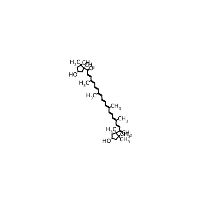 C=C(/C=C/C(C)=C/C=C/C(C)=C/C=C/C=C(C)/C=C/C=C(C)/C=C/C(=O)[C@@]1(C)C[C@H](O)CC1(C)C)[C@]1(C)C[C@@H](O)CC1(C)C